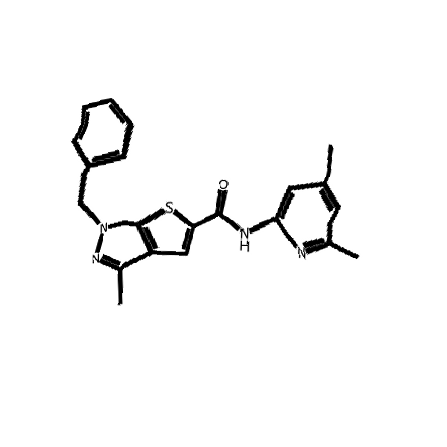 Cc1cc(C)nc(NC(=O)c2cc3c(C)nn(Cc4ccccc4)c3s2)c1